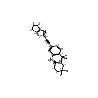 CC1(C)CCc2nc3cc(C#Cc4nc5c(s4)CCC5)ccc3c(=O)n2C1